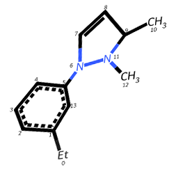 CCc1cccc(N2C=CC(C)N2C)c1